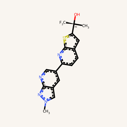 Cn1cc2cc(-c3ccc4cc([C@@](C)(O)C(F)(F)F)sc4n3)cnc2n1